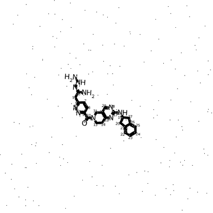 NN/N=C(\N)Cc1ccc(C(=O)N2CCc3nc(NC4Cc5ccccc5C4)ncc3C2)nn1